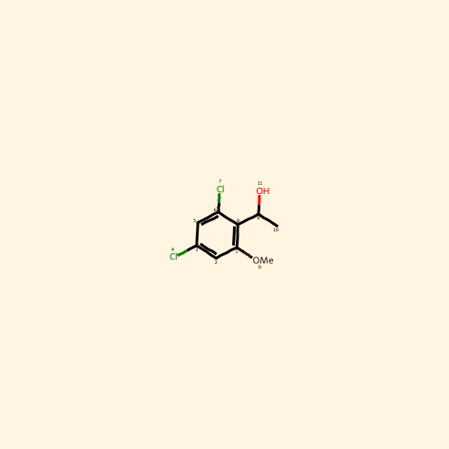 COc1cc(Cl)cc(Cl)c1C(C)O